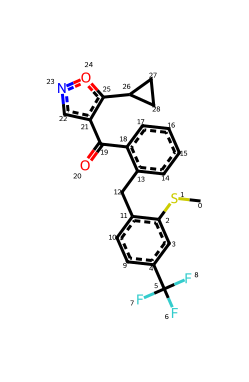 CSc1cc(C(F)(F)F)ccc1Cc1ccccc1C(=O)c1cnoc1C1CC1